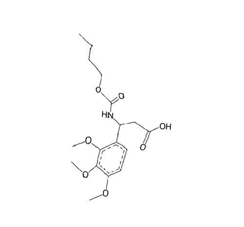 CCCCOC(=O)NC(CC(=O)O)c1ccc(OC)c(OC)c1OC